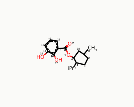 CC1CCC(C(C)C)C(OC(=O)c2cccc(O)c2O)C1